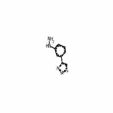 NNc1cccc(-c2csnn2)c1